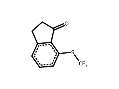 O=C1CCc2cccc(SC(F)(F)F)c21